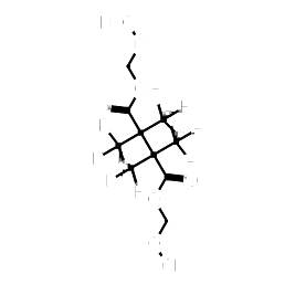 COCOC(=O)C(C(F)(F)F)(C(F)(F)F)C(C(=O)OCOC)(C(F)(F)F)C(F)(F)F